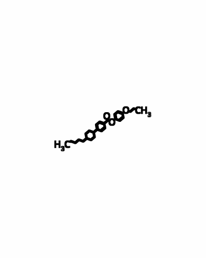 CCCCCC1CCC(c2ccc(C(=O)Oc3ccc(OCCC)cc3)cc2)CC1